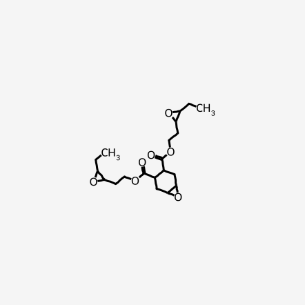 CCC1OC1CCOC(=O)C1CC2OC2CC1C(=O)OCCC1OC1CC